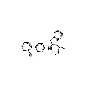 NC(=O)C1c2ccccc2CC1Nc1ccc(-n2ccccc2=O)cc1